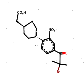 CC(C)(Br)C(=O)c1ccc([C@H]2CC[C@H](CC(=O)O)CC2)c([N+](=O)[O-])c1